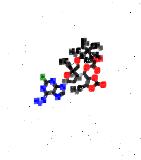 C#C[C@]1(CO[Si](C)(C)C(C)(C)C)O[C@@H](n2cnc3c(N)nc(F)nc32)C[C@H]1C(OC(=O)O)c1oc(=O)oc1C